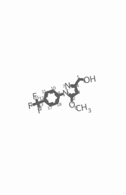 COc1cc(CO)nn1-c1ccc(C(F)(F)F)cc1